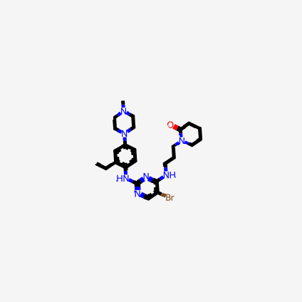 CCc1cc(N2CCN(C)CC2)ccc1Nc1ncc(Br)c(NCCCN2CCCCC2=O)n1